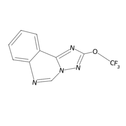 FC(F)(F)Oc1nc2c3ccccc3ncn2n1